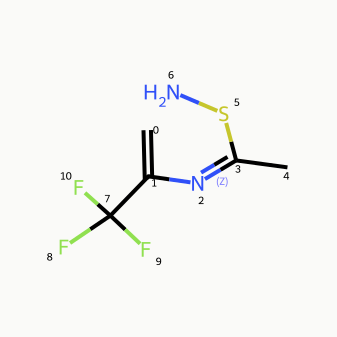 C=C(/N=C(/C)SN)C(F)(F)F